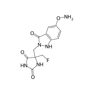 NOc1ccc2[nH]n(CC3(CF)NC(=O)NC3=O)c(=O)c2c1